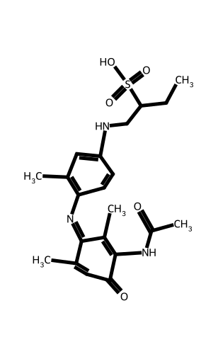 CCC(CNc1ccc(N=C2C(C)=CC(=O)C(NC(C)=O)=C2C)c(C)c1)S(=O)(=O)O